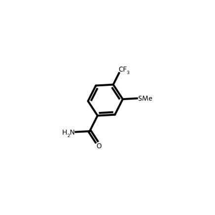 CSc1cc(C(N)=O)ccc1C(F)(F)F